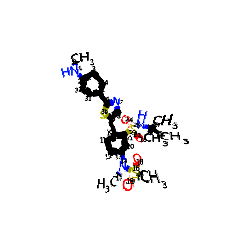 CNc1ccc(-c2ncc(-c3ccc(N(C)S(C)(=O)=O)cc3S(=O)(=O)NC(C)(C)C)s2)cc1